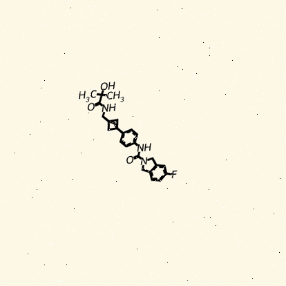 CC(C)(O)C(=O)NCC12CC(c3ccc(NC(=O)N4Cc5ccc(F)cc5C4)cc3)(C1)C2